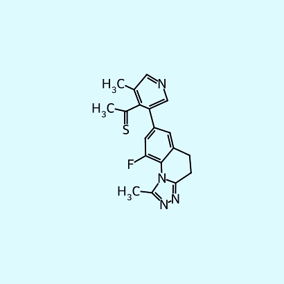 CC(=S)c1c(C)cncc1-c1cc(F)c2c(c1)CCc1nnc(C)n1-2